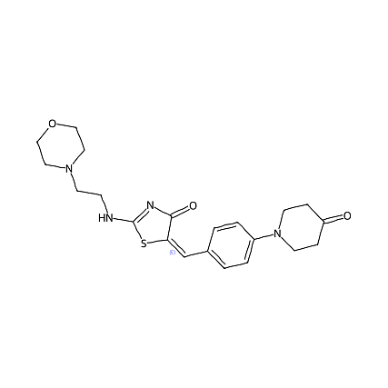 O=C1CCN(c2ccc(/C=C3/SC(NCCN4CCOCC4)=NC3=O)cc2)CC1